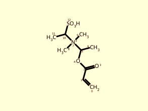 C=CC(=O)OC(C)[N+](C)(C)C(C)S(=O)(=O)O